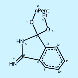 CCCCCOC1(OCC)NC(=N)c2ccccc21